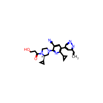 C=Cc1cc(-c2cc(C#N)c(N3CCN(C(=O)CCO)[C@H](C4CC4)C3)nc2C2CC2)cnn1